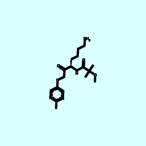 COC(C)(C)C(=O)N[C@@H](CCCCN)C(=O)COc1cnc(C)nc1